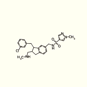 CNCC1Cc2ccc(CNS(=O)(=O)c3cnn(C)c3)cc2C1Cc1cccc(Cl)c1